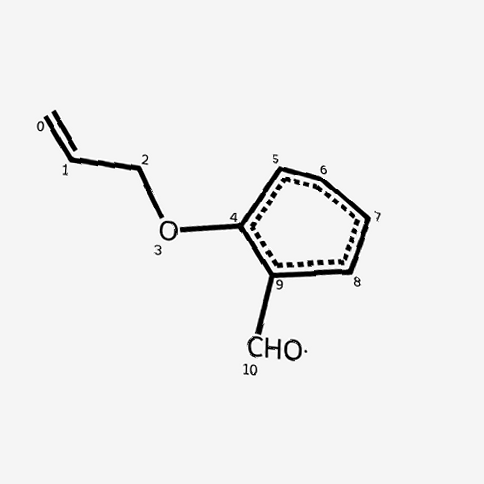 C=CCOc1ccccc1[C]=O